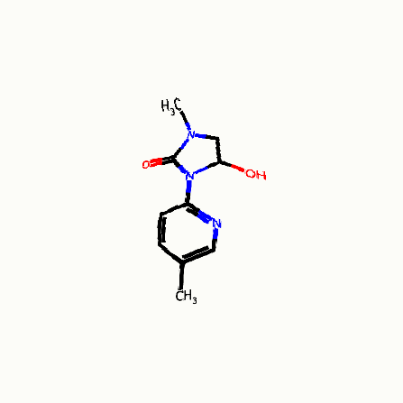 Cc1ccc(N2C(=O)N(C)CC2O)nc1